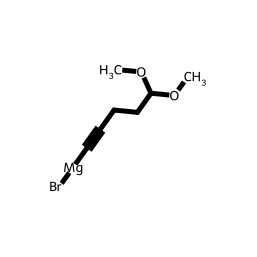 COC(CCC#[C][Mg][Br])OC